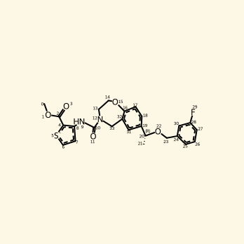 COC(=O)c1sccc1NC(=O)N1CCOc2ccc([C@@H](C)OCc3cccc(F)c3)cc2C1